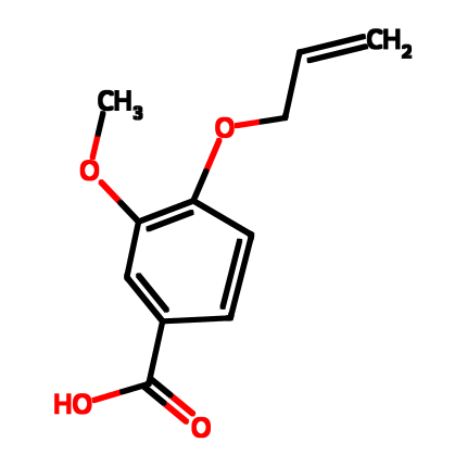 C=CCOc1ccc(C(=O)O)cc1OC